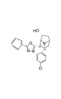 CN1C2CCC1[C@@H](c1nnc(-c3ccccc3)o1)[C@@H](c1ccc(Cl)cc1)C2.Cl